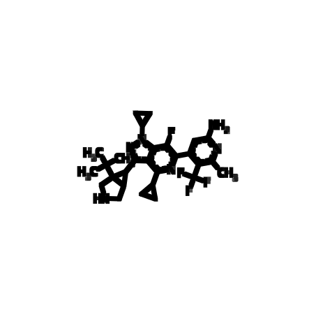 Cc1nc(N)cc(-c2nc(C3CC3)c3c(C4C5CNCC54C(C)(C)C)nn(C4CC4)c3c2F)c1C(F)(F)F